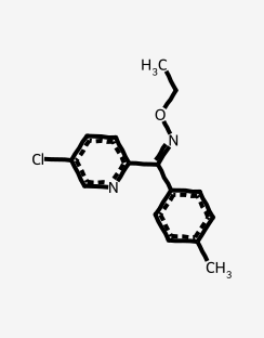 CCO/N=C(/c1ccc(C)cc1)c1ccc(Cl)cn1